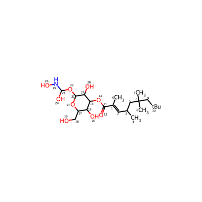 C/C(=C\C(C)CC(C)(C)CC(C)(C)C)C(=O)OC1C(O)C(CO)OC(OC(O)NO)C1O